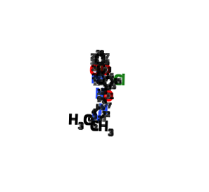 CC(C)N1CCN(Cc2cnc(-c3cc(Cl)cc4c3cnn4S(=O)(=O)c3ccccc3)o2)CC1